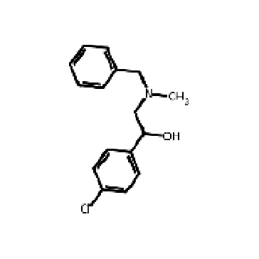 CN(Cc1ccccc1)CC(O)c1ccc(Cl)cc1